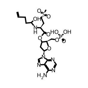 C=CCCC(O)N[C@@H](CCS(C)(=O)=O)C(=O)OC1C[C@H](n2cnc3c(N)ncnc32)O[C@@H]1COP(=O)(O)O